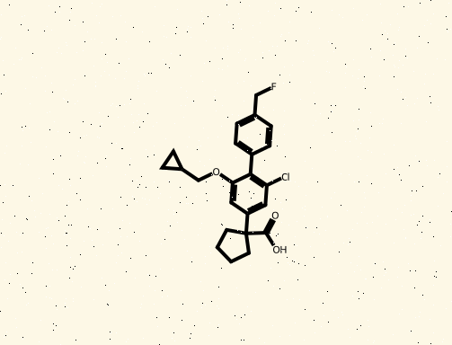 O=C(O)C1(c2cc(Cl)c(-c3ccc(CF)cc3)c(OCC3CC3)c2)CCCC1